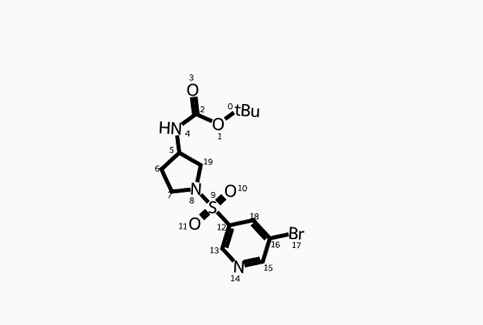 CC(C)(C)OC(=O)NC1CCN(S(=O)(=O)c2cncc(Br)c2)C1